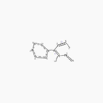 C=N/C(C)=C(\C=C/C)c1ccncc1